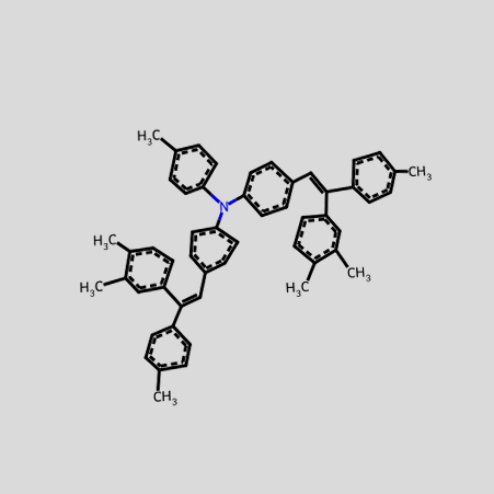 Cc1ccc(C(=Cc2ccc(N(c3ccc(C)cc3)c3ccc(C=C(c4ccc(C)cc4)c4ccc(C)c(C)c4)cc3)cc2)c2ccc(C)c(C)c2)cc1